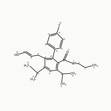 CCCNC(=O)c1c(C(C)C)nc(C(C)C)c(C/C=C/O)c1-c1ccc(F)cc1